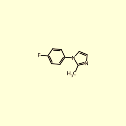 Cc1nccn1-c1ccc(F)cc1